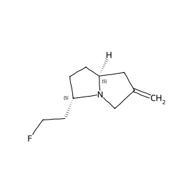 C=C1C[C@@H]2CC[C@@H](CCF)N2C1